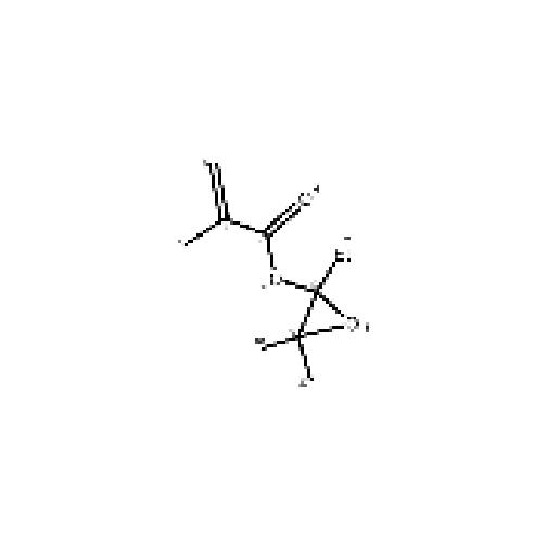 C=C(C)C(=O)OC1(CC)OC1(C)C